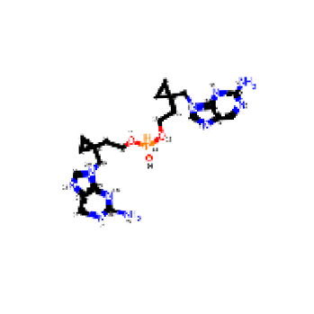 Nc1ncc2ncn(CC3(CCO[PH](=O)OCCC4(Cn5cnc6cnc(N)nc65)CC4)CC3)c2n1